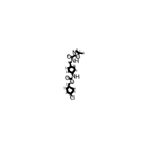 Cc1cnc(C(=O)NCc2ccc(NC(=O)OCc3ccc(Cl)cc3)cc2)o1